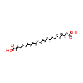 O=C(O)C=CCCCCCCCCCCCCCCCCCCCCC(=O)O